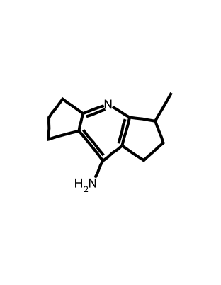 CC1CCc2c1nc1c(c2N)CCC1